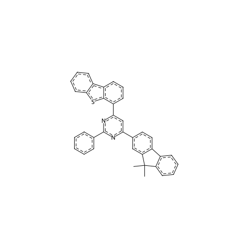 CC1(C)c2ccccc2-c2ccc(-c3cc(-c4cccc5c4sc4ccccc45)nc(-c4ccccc4)n3)cc21